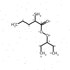 CCCC([SiH3])C(=O)OOC(CC)CC